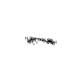 C[C@@H](OCc1ccc(CCCOCCOCCOCCCc2cccc3c2n(C)c(=O)n3C2CCC(=O)NC2=O)cc1)[C@@H](N)CCC(N)=O